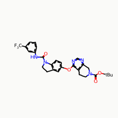 CC(C)(C)OC(=O)N1CCc2c(ncnc2Oc2ccc3c(c2)CCN3C(=O)Nc2cccc(C(F)(F)F)c2)C1